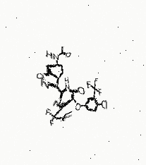 CC(=O)Nc1ccc2c(-c3nc(C(F)(F)F)c(Oc4ccc(Cl)c(C(F)(F)F)c4)c(=O)[nH]3)noc2c1